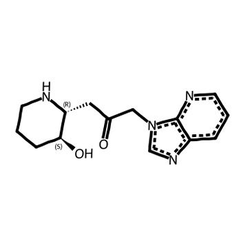 O=C(C[C@H]1NCCC[C@@H]1O)Cn1cnc2cccnc21